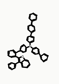 c1ccc(-c2ccc(-c3ccc(N(c4ccc(-c5ccccc5)cc4)c4ccc(-c5ccccc5-c5oc6ccccc6c5-c5ccccc5)cc4)cc3)cc2)cc1